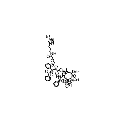 CCn1cc(CCCNC(=O)COCC(=O)O[C@@H](C(=O)O[C@H]2C[C@@]3(O)[C@@H](OC(=O)c4ccccc4)[C@@H]4[C@]5(OC(C)=O)CO[C@@H]5C[C@H](O)[C@@]4(C)C(=O)[C@H](OC(C)=O)C(=C2C)C3(C)C)[C@@H](NC(=O)c2ccccc2)c2ccccc2)nn1